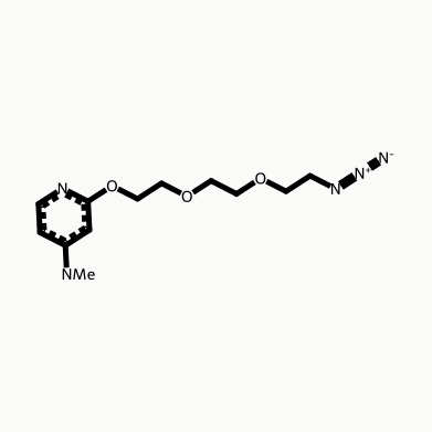 CNc1ccnc(OCCOCCOCCN=[N+]=[N-])c1